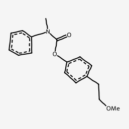 COCCc1ccc(OC(=O)N(C)c2ccccc2)cc1